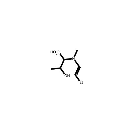 CC/C=C/N(C)C(C(=O)O)C(C)O